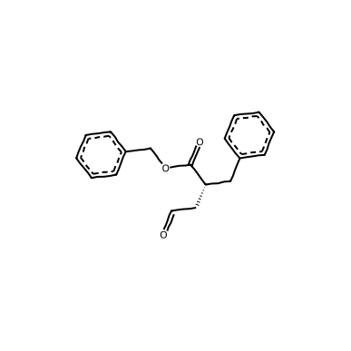 O=CC[C@@H](Cc1ccccc1)C(=O)OCc1ccccc1